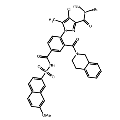 CCCCN(CCCC)C(=O)c1nn(-c2ccc(C(=O)NS(=O)(=O)c3ccc4ccc(OC)cc4c3)cc2C(=O)N2CCc3ccccc3C2)c(C)c1Cl